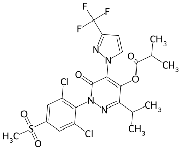 CC(C)C(=O)Oc1c(C(C)C)nn(-c2c(Cl)cc(S(C)(=O)=O)cc2Cl)c(=O)c1-n1ccc(C(F)(F)F)n1